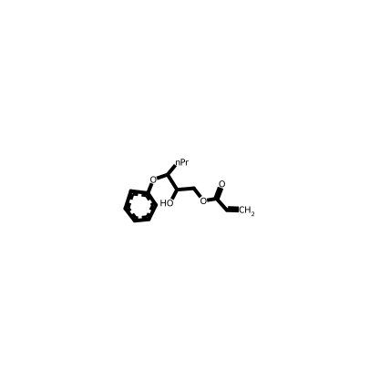 C=CC(=O)OCC(O)C(CCC)Oc1ccccc1